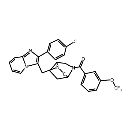 O=C(c1cccc(OC(F)(F)F)c1)N1CC2CCC1CN2Cc1c(-c2ccc(Cl)cc2)nc2ccccn12